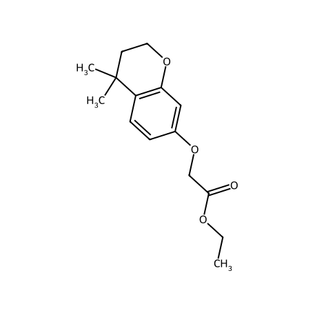 CCOC(=O)COc1ccc2c(c1)OCCC2(C)C